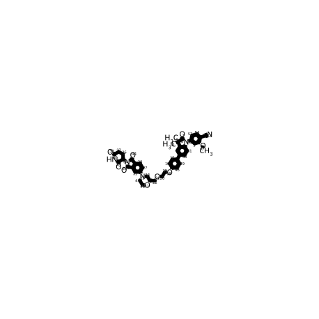 COc1cc(N2C(=O)C(C)(C)c3cc(-c4ccc(OCCOCC5CN(c6ccc7c(c6)C(=O)N(C6CCC(=O)NC6=O)C7=O)CCO5)cc4)ccc32)ccc1C#N